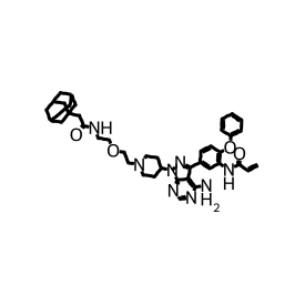 C=CC(=O)Nc1cc(-c2nn(C3CCN(CCOCCNC(=O)CC45CC6CC(CC(C6)C4)C5)CC3)c3ncnc(N)c23)ccc1Oc1ccccc1